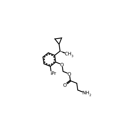 CC(C)c1cccc([C@H](C)C2CC2)c1OCOC(=O)CCN